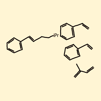 C=CC(=C)C.C=Cc1ccccc1.C=Cc1ccccc1.CC(C)CCC=Cc1ccccc1